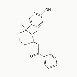 CC1N(CC(=O)c2ccccc2)CCCC1(C)c1ccc(O)cc1